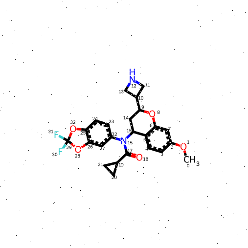 COc1ccc2c(c1)OC(C1CNC1)CC2N(C(=O)C1CC1)c1ccc2c(c1)OC(F)(F)O2